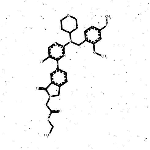 CCOC(=O)CN1Cc2ccc(-c3nc(N(Cc4ccc(OC)cc4OC)C4CCOCC4)ncc3Cl)cc2C1=O